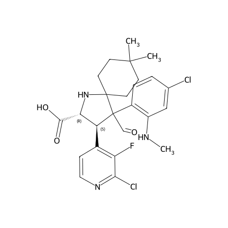 CNc1cc(Cl)ccc1C1(C=O)[C@@H](c2ccnc(Cl)c2F)[C@H](C(=O)O)NC12CCC(C)(C)CC2